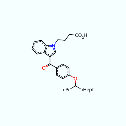 CCCCCCCC(CCC)Oc1ccc(C(=O)c2cn(CCCC(=O)O)c3ccccc23)cc1